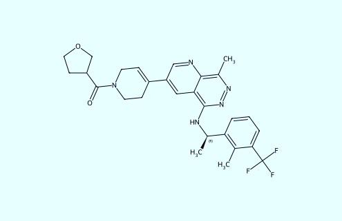 Cc1c([C@@H](C)Nc2nnc(C)c3ncc(C4=CCN(C(=O)C5CCOC5)CC4)cc23)cccc1C(F)(F)F